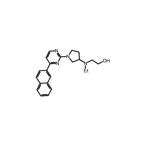 CCN(CCO)C1CCN(c2nccc(-c3ccc4ccccc4c3)n2)C1